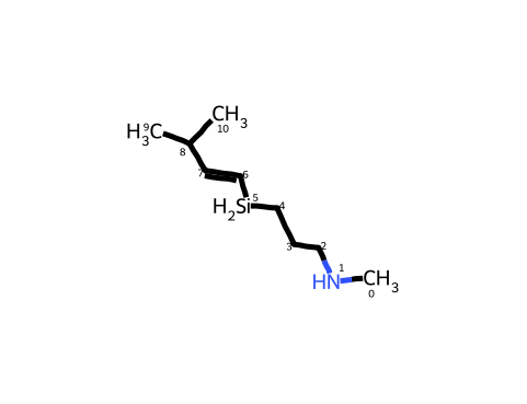 CNCCC[SiH2]C=CC(C)C